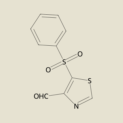 O=Cc1ncsc1S(=O)(=O)c1ccccc1